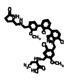 CCC(NCc1cc(Cl)c(Cn2ncc3c(-c4cccc(-c5ccc(CNCC6CCC(=O)N6)c(OC)c5)c4Cl)ccc(Cl)c32)cc1OC)C(=O)O